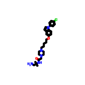 CC(C)(CN)NC(=O)CN1CCN(CCCCCOc2ccc3c(ccn3-c3ccc(Cl)cc3)c2)CC1